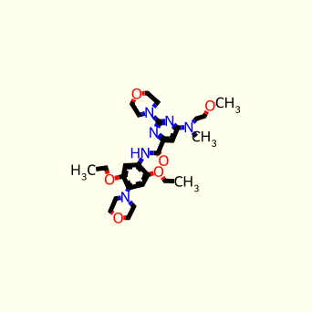 CCOc1cc(N2CCOCC2)c(OCC)cc1NC(=O)c1cc(N(C)CCOC)nc(N2CCOCC2)n1